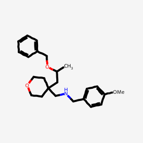 COc1ccc(CNCC2(CC(C)OCc3ccccc3)CCOCC2)cc1